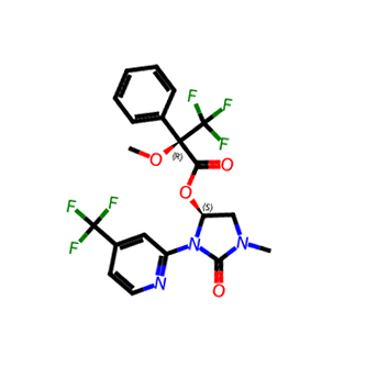 CO[C@@](C(=O)O[C@H]1CN(C)C(=O)N1c1cc(C(F)(F)F)ccn1)(c1ccccc1)C(F)(F)F